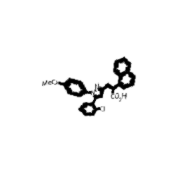 COc1ccc(-n2nc(CC(C(=O)O)c3cccc4ccccc34)cc2-c2ccccc2Cl)cc1